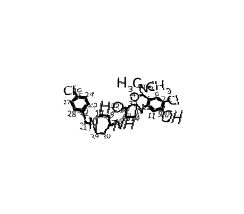 CN(C)C(=O)c1cc(Cl)c(O)cc1N1C[C@H](NC2CCN(Cc3ccc(Cl)cc3)CC2)[C@@H](O)C1